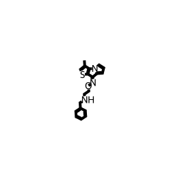 Cc1csc2c1-n1cccc1C2=NOCCNCc1ccccc1